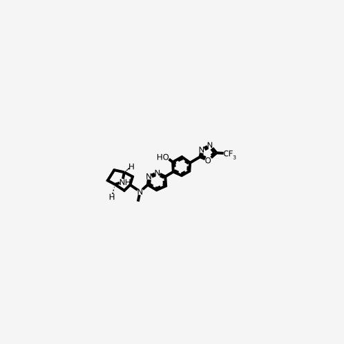 CN(c1ccc(-c2ccc(-c3nnc(C(F)(F)F)o3)cc2O)nn1)C1C[C@H]2CC[C@@H](C1)N2